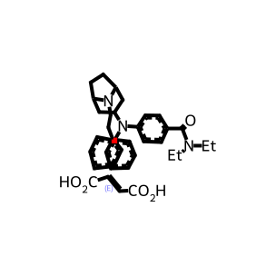 CCN(CC)C(=O)c1ccc(N(c2ccccc2)C2CC3CCC(C2)N3CCc2ccccc2)cc1.O=C(O)/C=C/C(=O)O